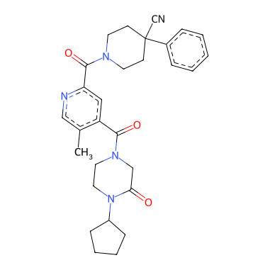 Cc1cnc(C(=O)N2CCC(C#N)(c3ccccc3)CC2)cc1C(=O)N1CCN(C2CCCC2)C(=O)C1